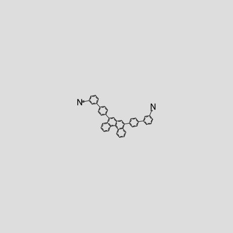 N#Cc1cccc(-c2ccc(-c3cc4cc(-c5ccc(-c6cccc(C#N)c6)cc5)c5ccccc5c4c4ccccc34)cc2)c1